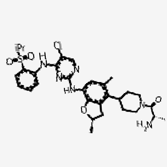 Cc1cc(Nc2ncc(Cl)c(Nc3ccccc3S(=O)(=O)C(C)C)n2)c2c(c1C1CCN(C(=O)[C@H](C)N)CC1)C[C@@H](C)O2